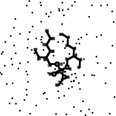 CCCCC(CC)COP(=O)(OF)OCC(CC)CCCC